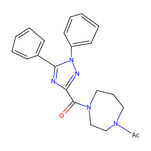 CC(=O)N1CCCN(C(=O)c2nc(-c3ccccc3)n(-c3ccccc3)n2)CC1